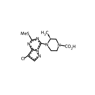 CSc1nc(N2CCN(C(=O)O)C[C@@H]2C)n2ncc(Cl)c2n1